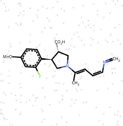 C=N/C=C\C=C(/C)N1C[C@@H](C(=O)O)[C@H](c2ccc(OC)cc2F)C1